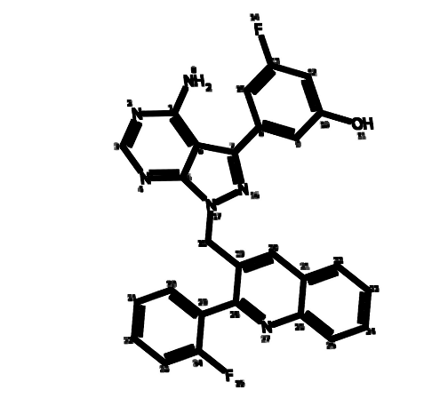 Nc1ncnc2c1c(-c1cc(O)cc(F)c1)nn2Cc1cc2ccccc2nc1-c1ccccc1F